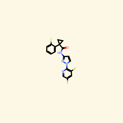 O=C(Nc1ccn(-c2ncc(F)cc2F)n1)C1(c2ccccc2F)CC1